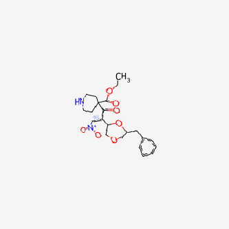 CCOC(=O)C1(C(=O)/C(=C/[N+](=O)[O-])C2COCC(Cc3ccccc3)O2)CCNCC1